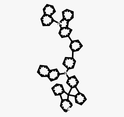 c1cc(-c2ccc(N(c3ccc4c(c3)C3(c5ccccc5-c5ccccc53)c3ccccc3-4)c3ccc4ccccc4c3)cc2)cc(-c2ccc3c(c2)c2ccccc2n3-c2cccc3ccccc23)c1